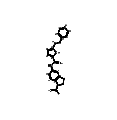 CC(=O)N1CCc2cc(NC(=O)c3ccc(SCc4ccncc4)o3)ccc21